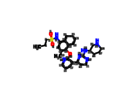 CCCS(=O)(=O)Nc1cc(C)c(Oc2ncccc2-c2ccnc(NC3CCCNC3)n2)c2ccccc12